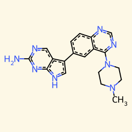 CN1CCN(c2ncnc3ccc(-c4c[nH]c5nc(N)ncc45)cc23)CC1